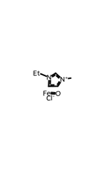 CCn1cc[n+](C)c1.[Cl-].[O]=[Fe]